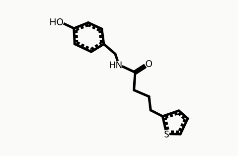 O=C(CCCc1cccs1)NCc1ccc(O)cc1